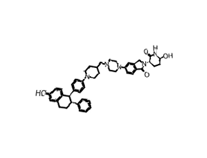 O=C1NC(O)CC[C@@H]1N1Cc2cc(N3CCN(CC4CCN(c5ccc([C@@H]6c7ccc(O)cc7CC[C@@H]6c6ccccc6)cc5)CC4)CC3)ccc2C1=O